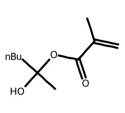 C=C(C)C(=O)OC(C)(O)CCCC